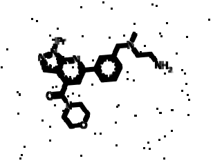 CC(C)n1ncc2c(C(=O)N3CCOCC3)cc(-c3cccc(CN(C)CCN)c3)nc21